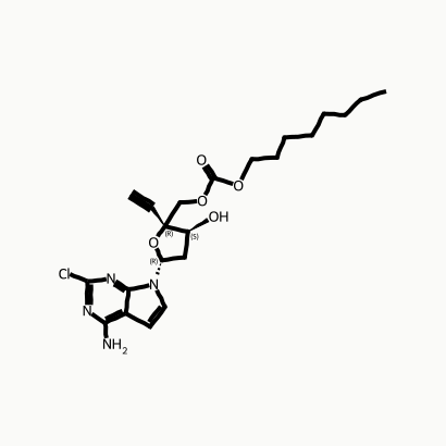 C#C[C@]1(COC(=O)OCCCCCCCC)O[C@@H](n2ccc3c(N)nc(Cl)nc32)C[C@@H]1O